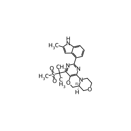 Cc1cc2c(-c3nc4c(c(C(C)(C)S(C)(=O)=O)n3)OC[C@@H]3COCCN43)cccc2[nH]1